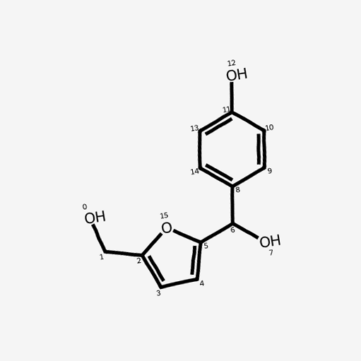 OCc1ccc(C(O)c2ccc(O)cc2)o1